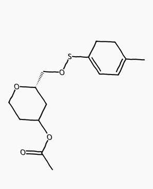 CC(=O)OC1CCO[C@H](COSC2=CC=C(C)CC2)C1